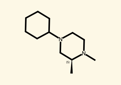 C[C@H]1CN(C2CCCCC2)CCN1C